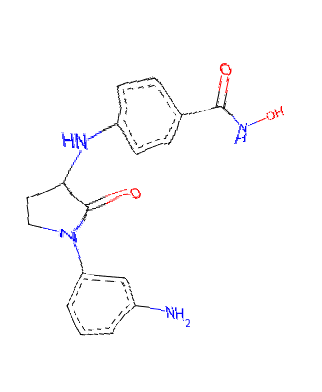 Nc1cccc(N2CCC(Nc3ccc(C(=O)NO)cc3)C2=O)c1